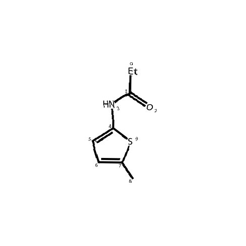 CCC(=O)Nc1[c]cc(C)s1